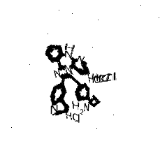 Cl.Cl.Cl.Cl.NC1(c2ccc(-c3c(-c4ccc5ncccc5c4)nc4n3-c3cccnc3Nc3ccccc3-4)cc2)CCC1